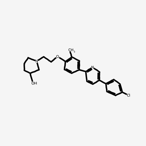 Cc1cc(-c2ccc(-c3ccc(Cl)cc3)cn2)ccc1OCCN1CCCC(O)C1